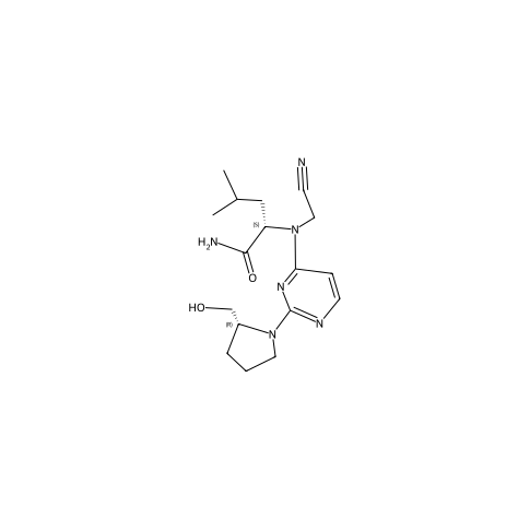 CC(C)C[C@@H](C(N)=O)N(CC#N)c1ccnc(N2CCC[C@@H]2CO)n1